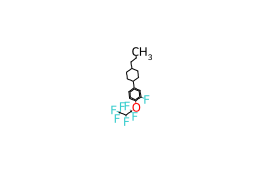 CCCC1CCC(c2ccc(OC(F)(F)C(F)C(F)(F)F)c(F)c2)CC1